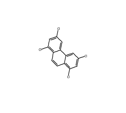 Clc1[c]c(Cl)c2ccc3c(Cl)[c]c(Cl)cc3c2c1